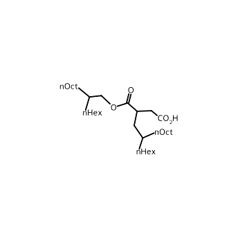 CCCCCCCCC(CCCCCC)COC(=O)C(CC(=O)O)CC(CCCCCC)CCCCCCCC